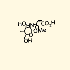 CO[C@@H]1OC(CO)[C@@H](C)[C@H](O)C1NC(=O)/C=C\C(=O)O